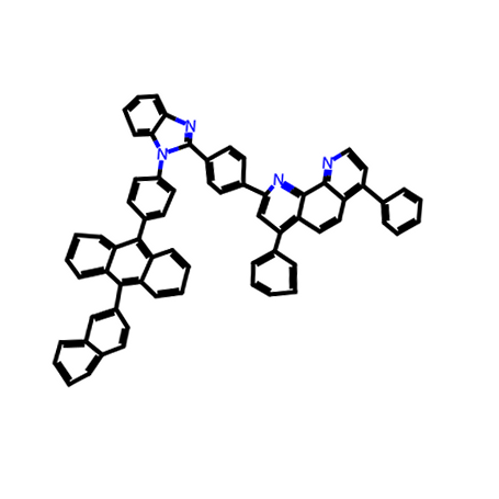 c1ccc(-c2ccnc3c2ccc2c(-c4ccccc4)cc(-c4ccc(-c5nc6ccccc6n5-c5ccc(-c6c7ccccc7c(-c7ccc8ccccc8c7)c7ccccc67)cc5)cc4)nc23)cc1